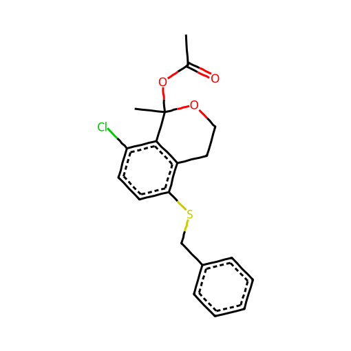 CC(=O)OC1(C)OCCc2c(SCc3ccccc3)ccc(Cl)c21